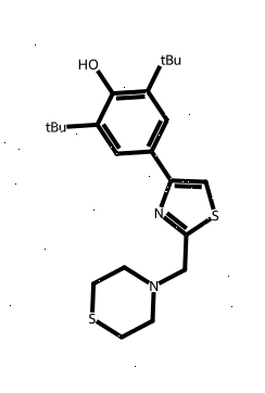 CC(C)(C)c1cc(-c2csc(CN3CCSCC3)n2)cc(C(C)(C)C)c1O